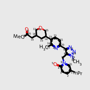 CCCc1ccc(=O)n(Cc2c(-c3ccc(C4COCC(CC(=O)OC)C4)c(C)n3)nnn2C)c1